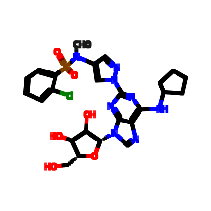 O=CN(c1cnn(-c2nc(NC3CCCC3)c3ncn([C@@H]4O[C@H](CO)C(O)C4O)c3n2)c1)S(=O)(=O)c1ccccc1Cl